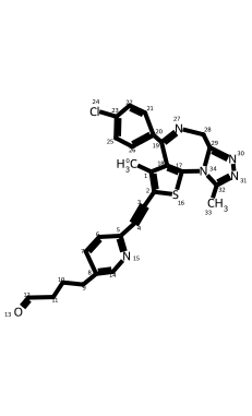 Cc1c(C#Cc2ccc(CCCC=O)cn2)sc2c1C(c1ccc(Cl)cc1)=NCc1nnc(C)n1-2